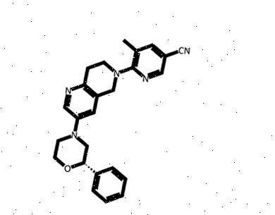 Cc1cc(C#N)cnc1N1CCc2ncc(N3CCO[C@@H](c4ccccc4)C3)cc2C1